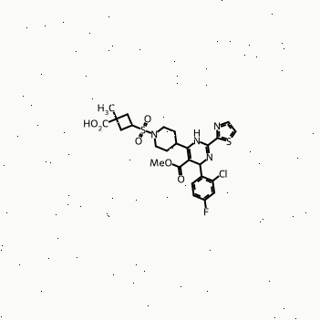 COC(=O)C1=C(C2CCN(S(=O)(=O)C3CC(C)(C(=O)O)C3)CC2)NC(c2nccs2)=NC1c1ccc(F)cc1Cl